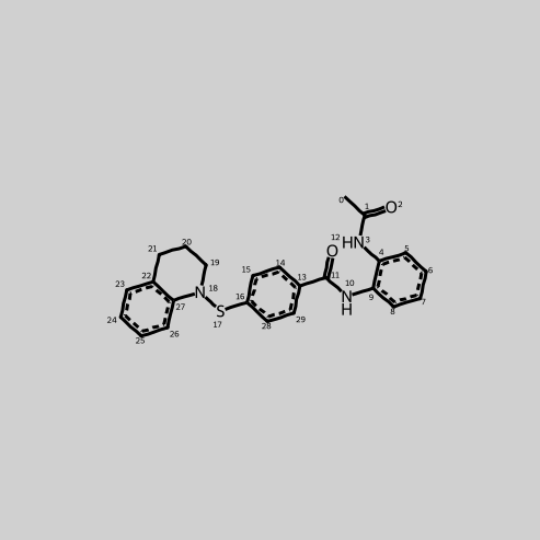 CC(=O)Nc1ccccc1NC(=O)c1ccc(SN2CCCc3ccccc32)cc1